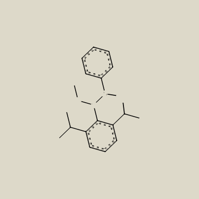 COB(c1c(C(C)C)cccc1C(C)C)N(C)c1ccccc1